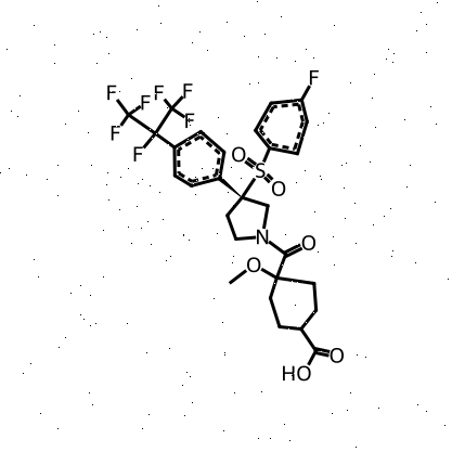 COC1(C(=O)N2CC[C@](c3ccc(C(F)(C(F)(F)F)C(F)(F)F)cc3)(S(=O)(=O)c3ccc(F)cc3)C2)CCC(C(=O)O)CC1